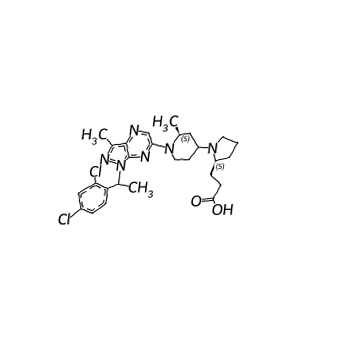 Cc1nn(C(C)c2ccc(Cl)cc2Cl)c2nc(N3CCC(N4CCC[C@H]4CCC(=O)O)C[C@@H]3C)cnc12